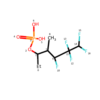 CCC(OP(=O)(O)O)C(C)C(F)C(F)(F)C(F)F